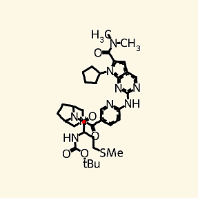 CSCCC(NC(=O)OC(C)(C)C)C(=O)N1C2CCC1CN(C(=O)c1ccc(Nc3ncc4cc(C(=O)N(C)C)n(C5CCCC5)c4n3)nc1)C2